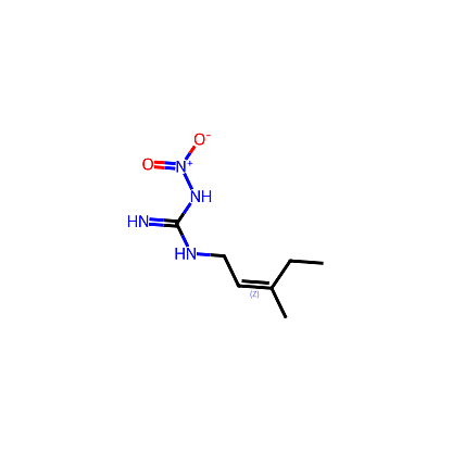 CC/C(C)=C\CNC(=N)N[N+](=O)[O-]